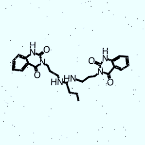 CCCC(NCCCn1c(=O)[nH]c2ccccc2c1=O)NCCCn1c(=O)[nH]c2ccccc2c1=O